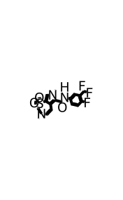 CN1C=Cc2c(cn(C)c2C(=O)Nc2ccc(F)c(C(F)F)c2)S(=O)(=O)C1